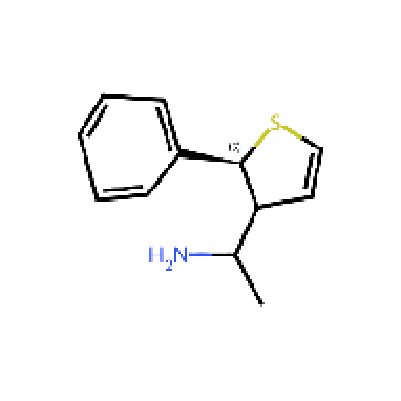 CC(N)C1C=CS[C@@H]1c1ccccc1